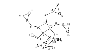 NC(=O)C1(C(N)=O)C(CC2CO2)C(CC2CO2)C1(CC1CO1)CC1CO1